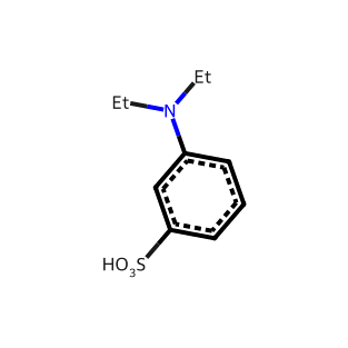 CCN(CC)c1cccc(S(=O)(=O)O)c1